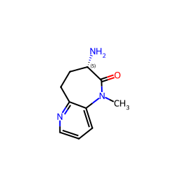 CN1C(=O)[C@@H](N)CCc2ncccc21